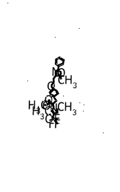 COC(=O)C(Cc1ccc(OCCc2nc(-c3ccccc3)oc2C)cc1)n1c(C)cc(C(=O)C(F)(F)F)c1C